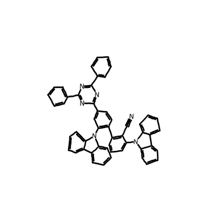 N#Cc1c(-c2ccc(-c3nc(-c4ccccc4)nc(-c4ccccc4)n3)cc2-n2c3ccccc3c3ccccc32)cccc1-n1c2ccccc2c2ccccc21